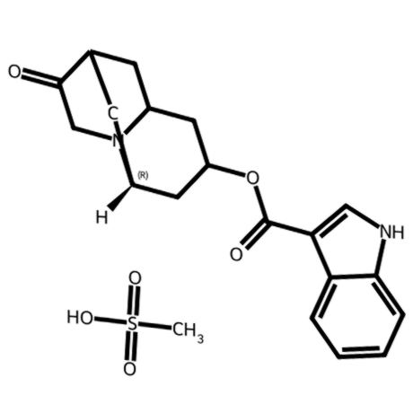 CS(=O)(=O)O.O=C(OC1CC2CC3C[C@H](C1)N2CC3=O)c1c[nH]c2ccccc12